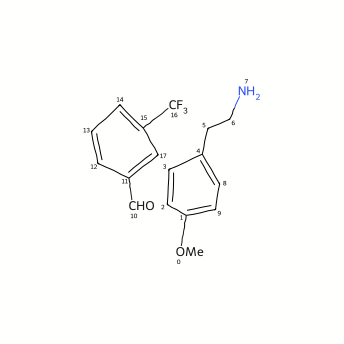 COc1ccc(CCN)cc1.O=Cc1cccc(C(F)(F)F)c1